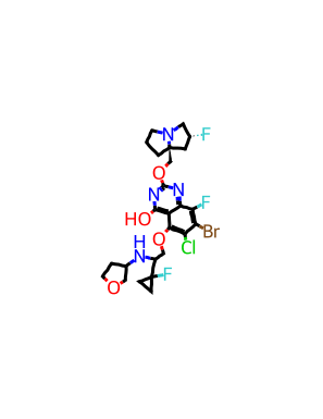 Oc1nc(OC[C@@]23CCCN2C[C@H](F)C3)nc2c(F)c(Br)c(Cl)c(OCC(NC3CCOC3)C3(F)CC3)c12